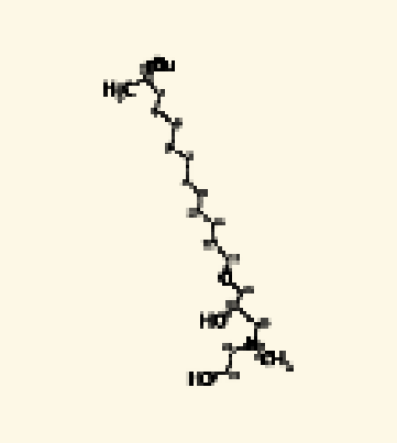 CCCCC(C)CCCCCCCCCCCOCC(O)CN(C)CCO